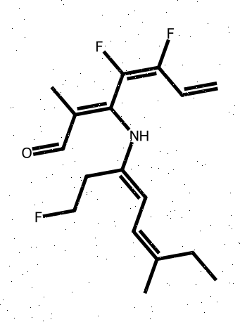 C=C/C(F)=C(F)\C(N/C(=C/C=C(/C)CC)CCF)=C(/C)C=O